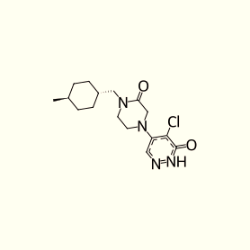 C[C@H]1CC[C@H](CN2CCN(c3cn[nH]c(=O)c3Cl)CC2=O)CC1